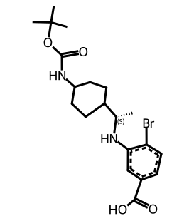 C[C@H](Nc1cc(C(=O)O)ccc1Br)C1CCC(NC(=O)OC(C)(C)C)CC1